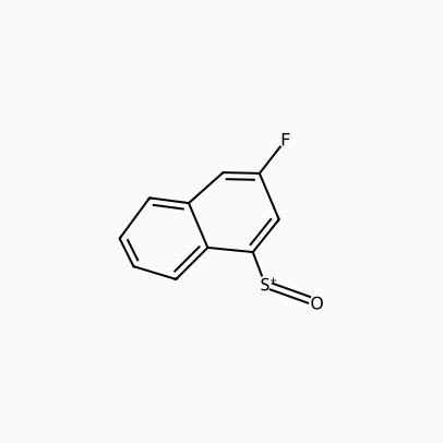 O=[S+]c1cc(F)cc2ccccc12